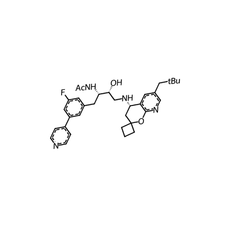 CC(=O)N[C@@H](Cc1cc(F)cc(-c2ccncc2)c1)[C@H](O)CN[C@H]1CC2(CCC2)Oc2ncc(CC(C)(C)C)cc21